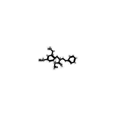 COc1ccc(CN(CCc2ccccc2)C(=O)OC(C)(C)C)c(CO)c1